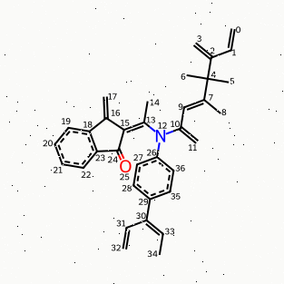 C=CC(=C)C(C)(C)/C(C)=C/C(=C)N(/C(C)=C1/C(=C)c2ccccc2C1=O)c1ccc(/C(C=C)=C/C)cc1